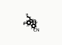 N#Cc1ccc2c(c1)COC2(CCCCI)c1ccc(F)cc1